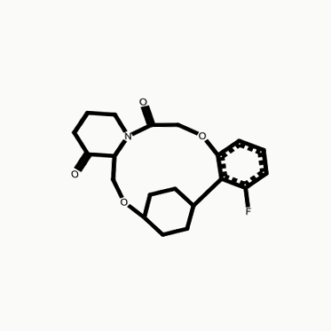 O=C1CCCN2C(=O)COc3cccc(F)c3C3CCC(CC3)OCC12